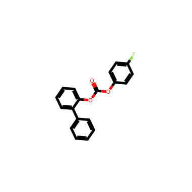 O=C(Oc1ccc(F)cc1)Oc1ccccc1-c1ccccc1